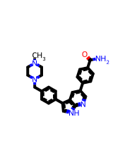 CN1CCN(Cc2ccc(-c3c[nH]c4ncc(-c5ccc(C(N)=O)cc5)cc34)cc2)CC1